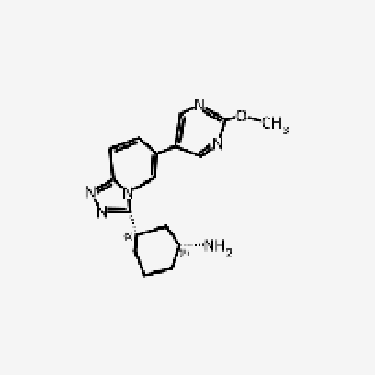 COc1ncc(-c2ccc3nnc([C@H]4CCC[C@@H](N)C4)n3c2)cn1